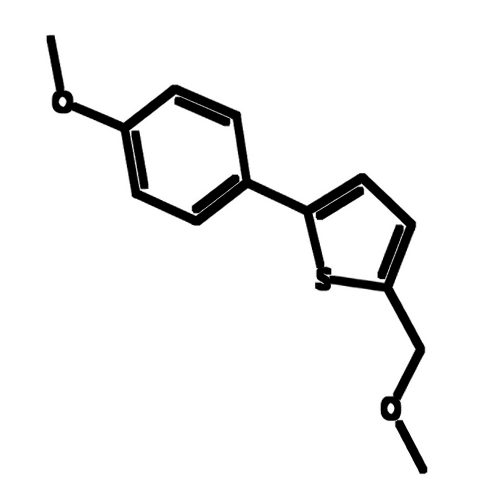 COCc1ccc(-c2ccc(OC)cc2)s1